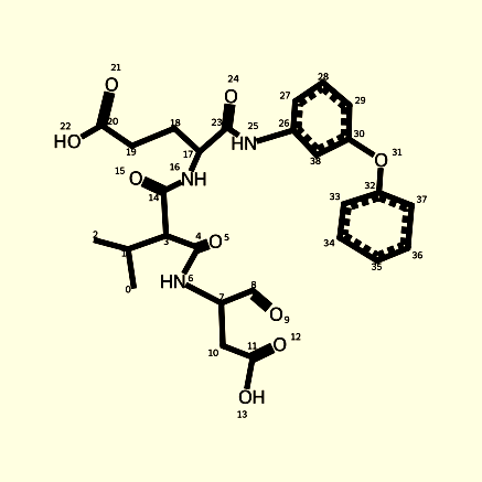 CC(C)C(C(=O)NC(C=O)CC(=O)O)C(=O)NC(CCC(=O)O)C(=O)Nc1cccc(Oc2ccccc2)c1